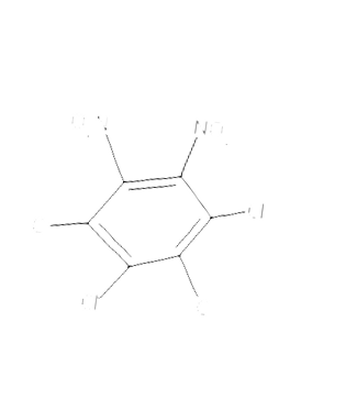 O=[N+]([O-])c1c(Cl)c(Cl)c(Cl)c(Cl)c1[N+](=O)[O-]